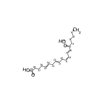 CCCCCC(/C=C/C=C\CC=CCC=CCCCC(=O)O)OO